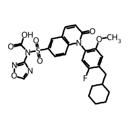 COc1cc(CC2CCCCC2)c(F)cc1-n1c(=O)ccc2cc(S(=O)(=O)N(C(=O)O)c3ncon3)ccc21